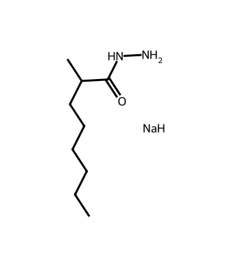 CCCCCCC(C)C(=O)NN.[NaH]